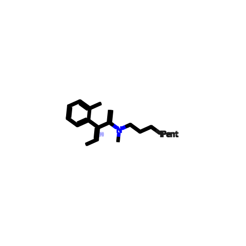 C=C(/C(=C/C)c1ccccc1C)N(C)CCCC(C)CCC